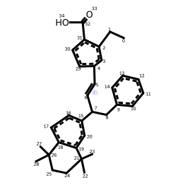 CCc1cc(/C=C/C(Cc2ccccc2)c2ccc3c(c2)C(C)(C)CCC3(C)C)ccc1C(=O)O